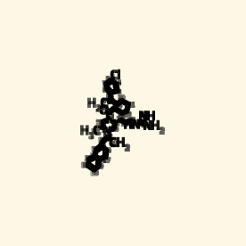 C=C(c1ccc(Cl)cc1)C1CCCCC1C(=O)N1C[C@@H](C)N(C(=C)Cc2ccc3ccccc3c2)C[C@@H]1CCCNC(=N)N